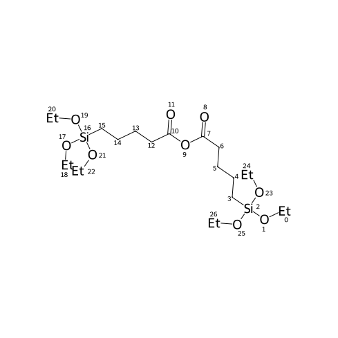 CCO[Si](CCCCC(=O)OC(=O)CCCC[Si](OCC)(OCC)OCC)(OCC)OCC